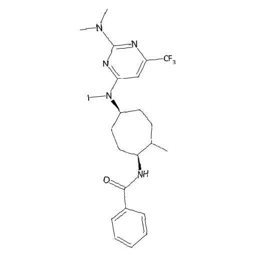 CC1CC[C@H](N(I)c2cc(C(F)(F)F)nc(N(C)C)n2)CC[C@@H]1NC(=O)c1ccccc1